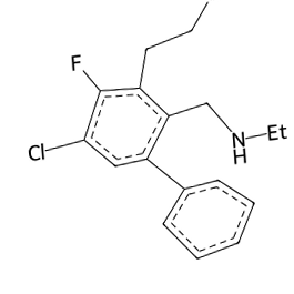 CCNCc1c(-c2ccccc2)cc(Cl)c(F)c1CCOC(C)=O